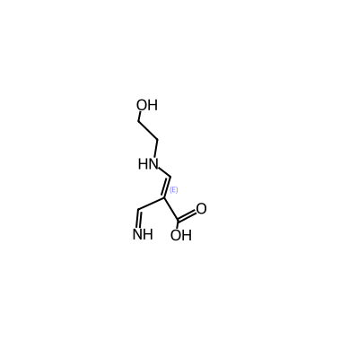 N=C/C(=C\NCCO)C(=O)O